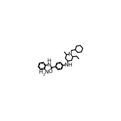 CCC1CC(Nc2ccc(C(=O)Nc3ccccc3N)cc2)CC(C)N1CC1CCCCC1